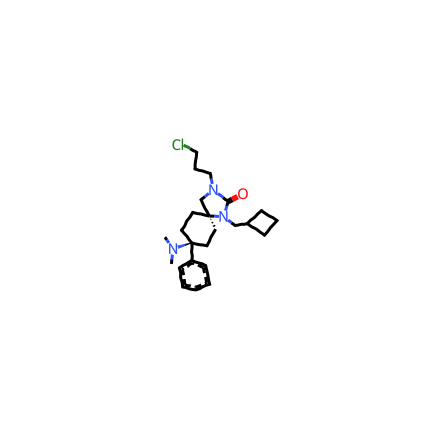 CN(C)[C@]1(c2ccccc2)CC[C@]2(CC1)CN(CCCCl)C(=O)N2CC1CCC1